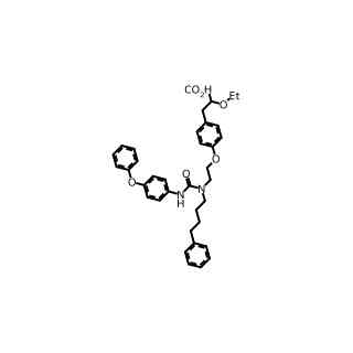 CCOC(Cc1ccc(OCCN(CCCCc2ccccc2)C(=O)Nc2ccc(Oc3ccccc3)cc2)cc1)C(=O)O